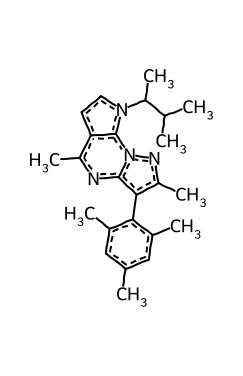 Cc1cc(C)c(-c2c(C)nn3c2nc(C)c2ccn(C(C)C(C)C)c23)c(C)c1